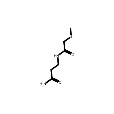 CSCC(=O)NCCC(N)=O